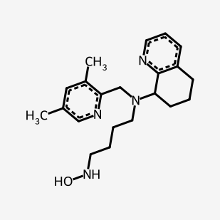 Cc1cnc(CN(CCCCNO)C2CCCc3cccnc32)c(C)c1